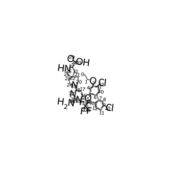 CCOc1ccc(-c2cc(Cl)ccc2[C@@H](Oc2cc(N3CCC4(CC3)CNC(C(=O)O)C4)nc(N)n2)C(F)(F)F)cc1Cl